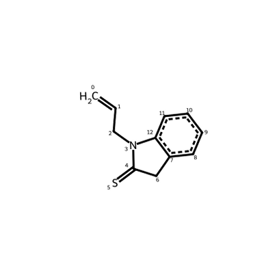 C=CCN1C(=S)Cc2ccccc21